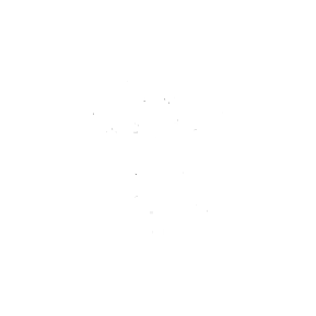 CCCC(=O)c1nc2cccnn2c1-c1ccc(Cl)c(F)c1